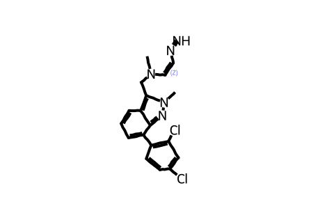 CN(/C=C\N=N)Cc1c2cccc(-c3ccc(Cl)cc3Cl)c2nn1C